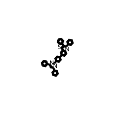 c1ccc(-c2cc(-c3ccccc3)nc(-c3ccc(-c4ccc5nc(-c6ccccc6)c6c7ccccc7sc6c5c4)cc3)n2)cc1